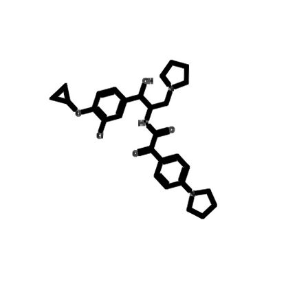 O=C(NC(CN1CCCC1)C(O)c1ccc(OC2CC2)c(Cl)c1)C(=O)c1ccc(N2CCCC2)cc1